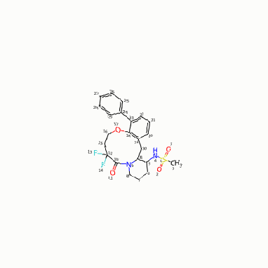 CS(=O)(=O)NC1CCCN2C(=O)C(F)(F)CCOc3c(cccc3-c3ccccc3)CC12